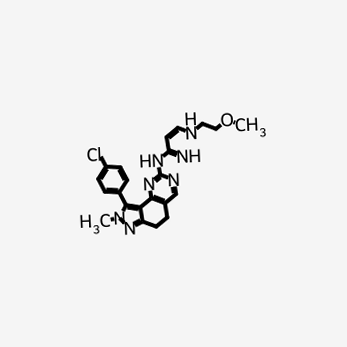 COCCN/C=C\C(=N)Nc1ncc2c(n1)-c1c(nn(C)c1-c1ccc(Cl)cc1)CC2